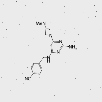 CNC1CN(c2cc(NCc3ccc(C#N)cc3)nc(N)n2)C1